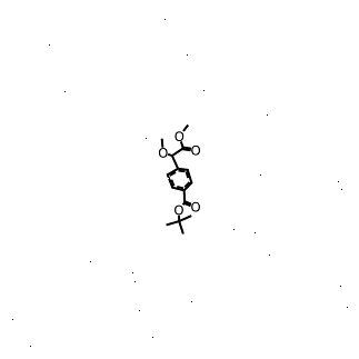 COC(=O)C(OC)c1ccc(C(=O)OC(C)(C)C)cc1